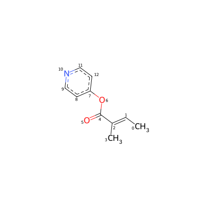 CC=C(C)C(=O)Oc1ccncc1